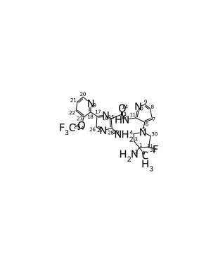 CC1(N)CCN(c2cccnc2NC(=O)c2nc(-c3ncccc3OC(F)(F)F)cnc2N)CC1F